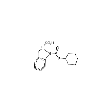 O=C(O)[C@H]1Cc2ccccc2N1C(=O)OC1CCCCC1